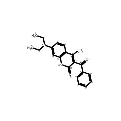 CCN(CC)c1ccc2c(C)c(C(=O)c3ccccc3)c(=O)oc2c1